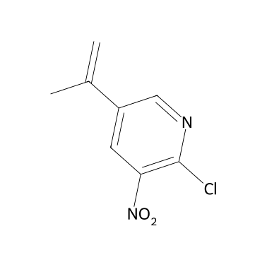 C=C(C)c1cnc(Cl)c([N+](=O)[O-])c1